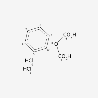 Cl.Cl.O=C(O)OC(=O)O.c1ccccc1